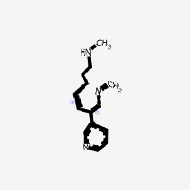 C=N/C=C(\C=C/CCCNC)c1cccnc1